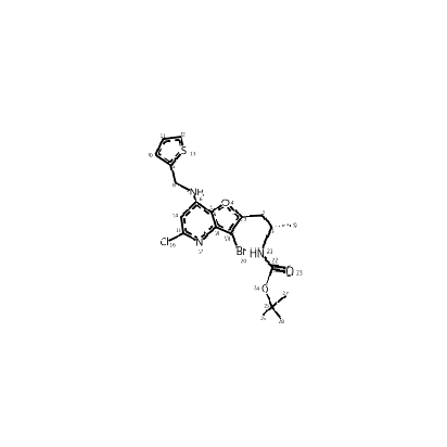 C[C@@H](Cc1oc2c(NCc3cccs3)cc(Cl)nc2c1Br)NC(=O)OC(C)(C)C